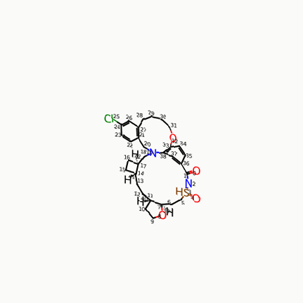 O=C1/N=[SH](=O)\CC[C@H]2OCC[C@@H]2CC[C@@H]2CC[C@H]2CN2Cc3ccc(Cl)cc3CCCCOc3ccc1cc32